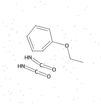 CCOc1ccccc1.N=C=O.N=C=O